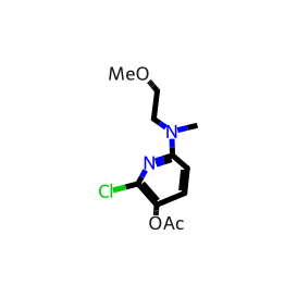 COCCN(C)c1ccc(OC(C)=O)c(Cl)n1